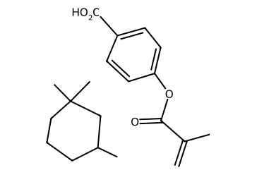 C=C(C)C(=O)Oc1ccc(C(=O)O)cc1.CC1CCCC(C)(C)C1